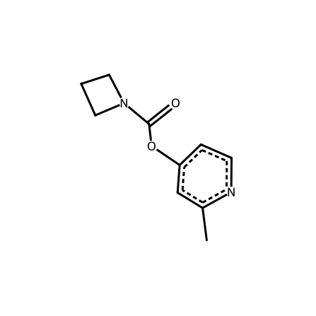 Cc1cc(OC(=O)N2CCC2)ccn1